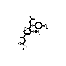 COC(=O)CC(C)c1cnc(N(CC(C)C)C2CCC(OC)CC2)c(N)c1